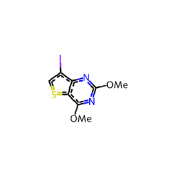 COc1nc(OC)c2scc(I)c2n1